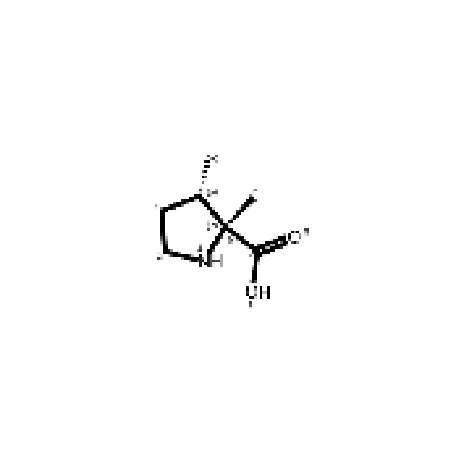 C[C@H]1CCN[C@@]1(C)C(=O)O